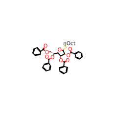 CCCCCCCCS[C@@H]1O[C@@H]([C@@H](COC(=O)c2ccccc2)OC(=O)c2ccccc2)[C@H](OC(=O)c2ccccc2)[C@H]1OC(=O)c1ccccc1